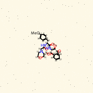 COc1ccc(C[C@H](NC(=O)CN2CCOC[C@H]2CO)C(=O)N[C@@H](Cc2ccccc2)C(=O)[C@H]2CO2)cc1